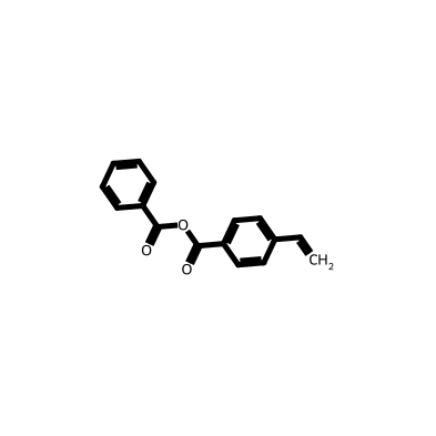 C=Cc1ccc(C(=O)OC(=O)c2ccccc2)cc1